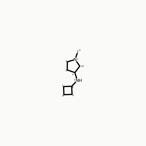 IN1CCC(NC2CCC2)C1